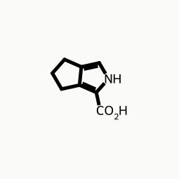 O=C(O)c1[nH]cc2c1CCC2